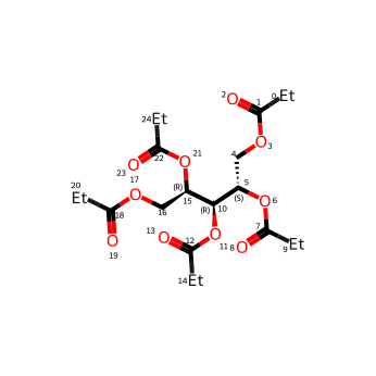 CCC(=O)OC[C@H](OC(=O)CC)[C@@H](OC(=O)CC)[C@@H](COC(=O)CC)OC(=O)CC